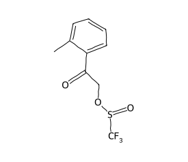 Cc1ccccc1C(=O)COS(=O)C(F)(F)F